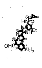 CC[C@@H]1CC(NS(=O)(=O)C2CC2)C[C@@H]1Nc1c(N)cnc2c1ccn2C(=O)C(C=O)c1ccc(C)cc1